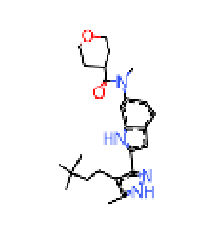 Cc1[nH]nc(-c2cc3ccc(N(C)C(=O)C4CCOCC4)cc3[nH]2)c1CCC(C)(C)C